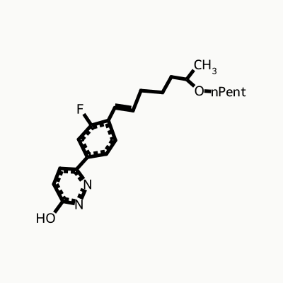 CCCCCOC(C)CCC/C=C/c1ccc(-c2ccc(O)nn2)cc1F